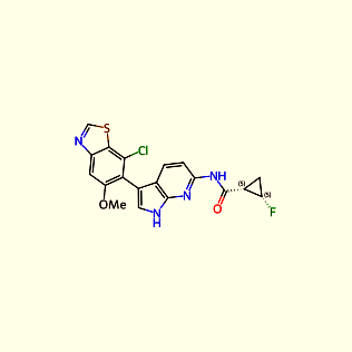 COc1cc2ncsc2c(Cl)c1-c1c[nH]c2nc(NC(=O)[C@@H]3C[C@@H]3F)ccc12